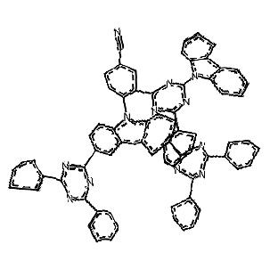 N#Cc1ccc(-n2c3ccc(-c4nc(-c5ccccc5)nc(-c5ccccc5)n4)cc3c3cc(-c4nc(-c5ccccc5)nc(-c5ccccc5)n4)ccc32)c(-c2nc(-c3ccccc3)nc(-n3c4ccccc4c4ccccc43)n2)c1